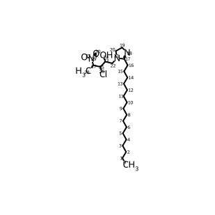 CCCCCCCCCCCCCCCCCC1=NCCN1CC(O)C(Cl)C(C)[N+](=O)[O-]